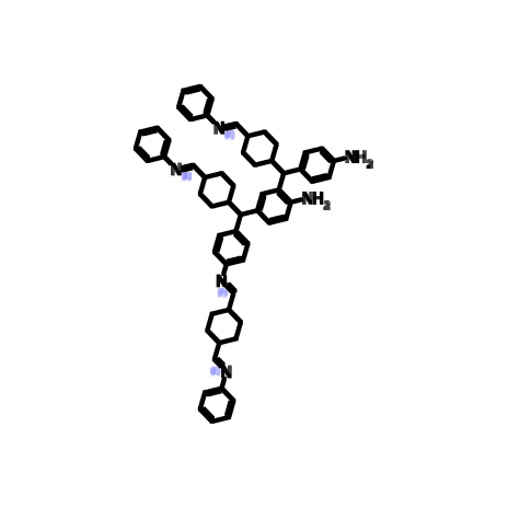 Nc1ccc(C(c2cc(C(c3ccc(/N=C/C4CCC(/C=N/c5ccccc5)CC4)cc3)C3CCC(/C=N/c4ccccc4)CC3)ccc2N)C2CCC(/C=N/c3ccccc3)CC2)cc1